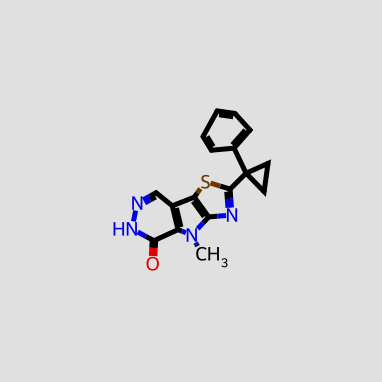 Cn1c2nc(C3(c4ccccc4)CC3)sc2c2cn[nH]c(=O)c21